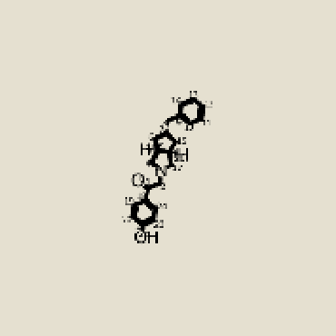 O=C(CN1C[C@H]2C[C@@H](Cc3ccccc3)C[C@H]2C1)c1ccc(O)cc1